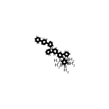 Bc1c(B)c(B)c(-n2c3ccccc3c3cc(-c4ccc5c(c4)c4ccccc4n5-c4cccc(-c5ccc(-c6ccccc6)cc5)c4)ccc32)c(B)c1B